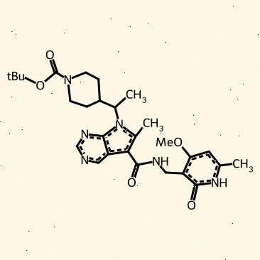 COc1cc(C)[nH]c(=O)c1CNC(=O)c1c(C)n(C(C)C2CCN(C(=O)OC(C)(C)C)CC2)c2ncncc12